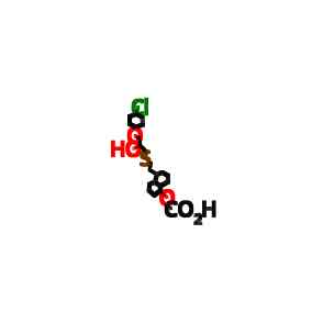 O=C(O)COc1cccc2c(CCSCC(O)COc3ccc(Cl)cc3)cccc12